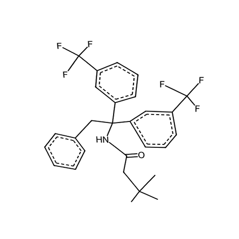 CC(C)(C)CC(=O)NC(Cc1ccccc1)(c1cccc(C(F)(F)F)c1)c1cccc(C(F)(F)F)c1